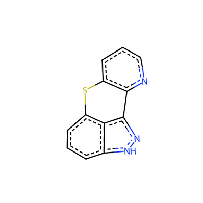 c1cnc2c(c1)Sc1cccc3[nH]nc-2c13